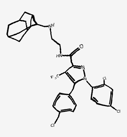 O=C(NCCNC1C2CC3CC(C2)CC1C3)c1nn(-c2ccc(Cl)cc2Cl)c(-c2ccc(Cl)cc2)c1C(F)(F)F